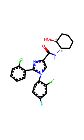 O=C(N[C@H]1CCCC[C@@H]1O)c1cn(-c2ccc(F)cc2Cl)c(-c2ccccc2Cl)n1